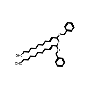 O=CCCCCCCCC=CC(OCc1ccccc1)OC(C=CCCCCCCCC=O)OCc1ccccc1